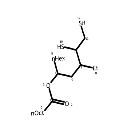 CCCCCCCCC(=O)OC(CCCCCC)CC(CC)C(S)CS